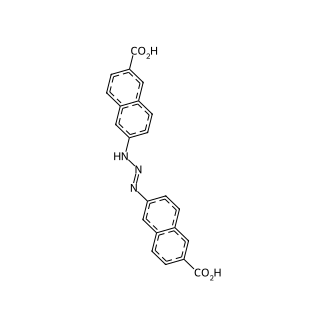 O=C(O)c1ccc2cc(/N=N/Nc3ccc4cc(C(=O)O)ccc4c3)ccc2c1